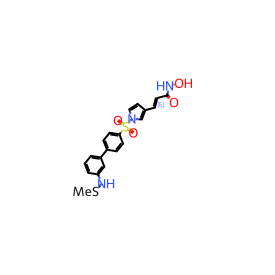 CSNc1cccc(-c2ccc(S(=O)(=O)n3ccc(/C=C/C(=O)NO)c3)cc2)c1